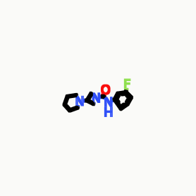 O=C(Nc1cccc(F)c1)N1CC(N2CCCCC2)C1